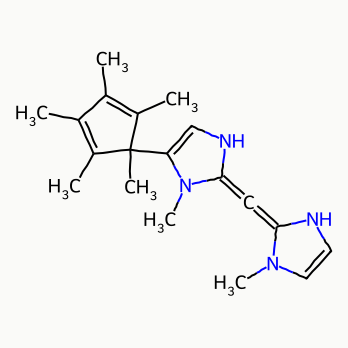 CC1=C(C)C(C)(C2=CNC(=C=C3NC=CN3C)N2C)C(C)=C1C